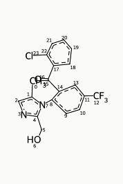 Cc1cnc(CO)n1-c1ccc(C(F)(F)F)cc1C(=O)c1ccccc1Cl